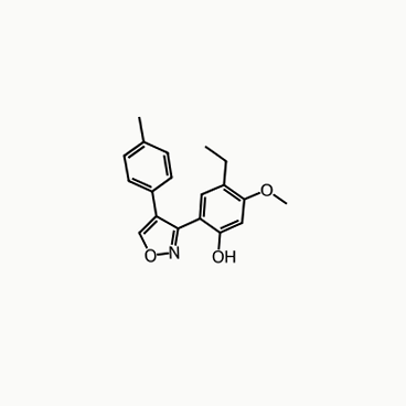 CCc1cc(-c2nocc2-c2ccc(C)cc2)c(O)cc1OC